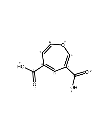 O=C(O)C1=COC=CC(C(=O)O)=C1